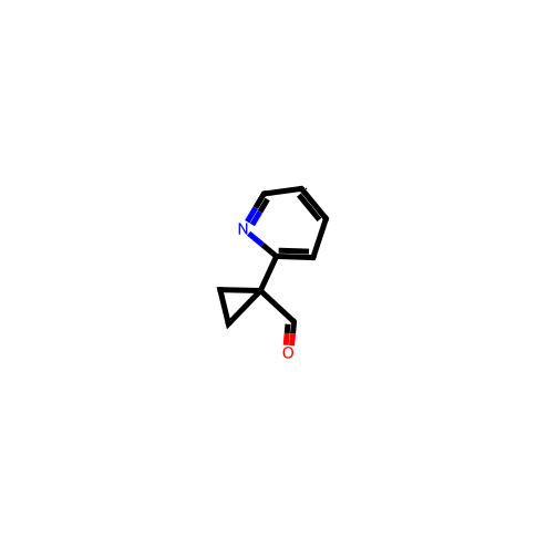 O=CC1(c2cc[c]cn2)CC1